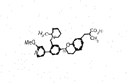 COc1cc(-c2ccc([C@@H]3CCc4ccc(CC(C)C(=O)O)cc4O3)cc2CN2CCCCC2C)ccn1